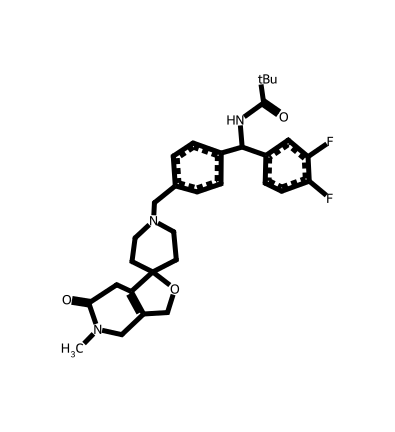 CN1CC2=C(CC1=O)C1(CCN(Cc3ccc(C(NC(=O)C(C)(C)C)c4ccc(F)c(F)c4)cc3)CC1)OC2